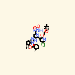 CC(C)(C)[Si](C)(C)OCCOc1ncc(Cl)cc1-c1nc(-c2noc(=O)[nH]2)cc2nc(N3CCO[C@@H]4CCC[C@H]43)n(C[C@H]3CC[C@H](C)CC3)c12